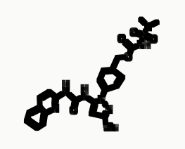 CN(C)S(=O)(=O)NC(=O)OCc1ccc(-n2nc(C(C)(C)C)cc2NC(=O)Nc2ccc3ccccc3n2)cc1